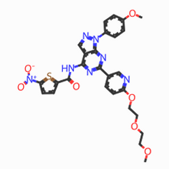 COCCOCCOc1ccc(-c2nc(NC(=O)c3ccc([N+](=O)[O-])s3)c3cnn(-c4ccc(OC)cc4)c3n2)cn1